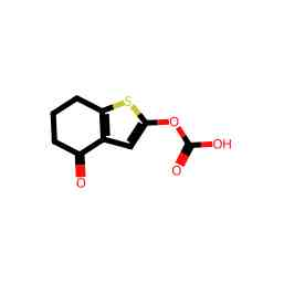 O=C(O)Oc1cc2c(s1)CCCC2=O